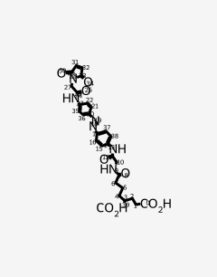 O=C(O)CCC(CCCC(=O)NCC(=O)Nc1ccc(/N=N/c2ccc(NC(=O)CN3C(=O)C=CC3=O)cc2)cc1)C(=O)O